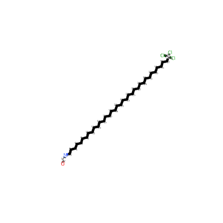 O=C=NCCCCCCCCCCCCCCCCCCCCCCCCCCCCCCCCCCC[Si](Cl)(Cl)Cl